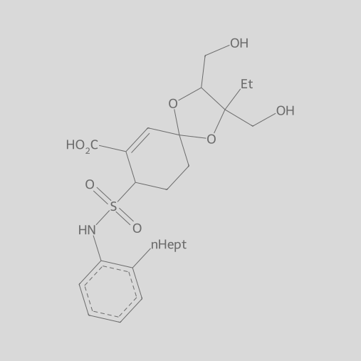 CCCCCCCc1ccccc1NS(=O)(=O)C1CCC2(C=C1C(=O)O)OC(CO)C(CC)(CO)O2